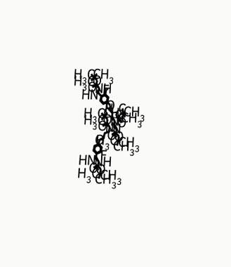 CC(C)(C)OC(=O)N=C(N(CCCOc1ccc(C(=N)NC(=O)OC(C)(C)C)c(F)c1)C(=O)OC(C)(C)C)N(CCCOc1ccc(C(=N)NC(=O)OC(C)(C)C)c(F)c1)C(=O)OC(C)(C)C